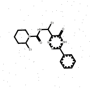 CCC(NC(=O)N1CCCCC1CC)c1nnc(-c2ccccc2)[nH]c1=O